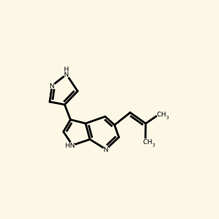 CC(C)=Cc1cnc2[nH]cc(-c3cn[nH]c3)c2c1